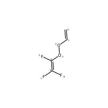 C=COOC(F)=C(F)F